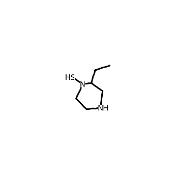 CCC1CNCCN1S